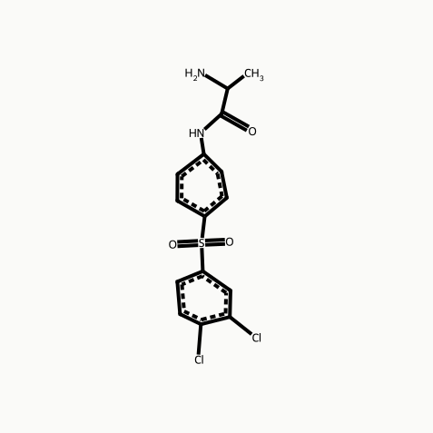 CC(N)C(=O)Nc1ccc(S(=O)(=O)c2ccc(Cl)c(Cl)c2)cc1